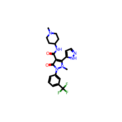 CN1CCC(NC(=O)c2c(-c3ccn[nH]3)n(C)n(-c3cccc(C(F)(F)F)c3)c2=O)CC1